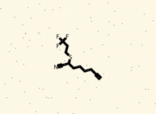 C#CCCCCC(C#N)SCCC(F)(F)F